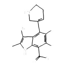 Cc1[nH]c2c(C(N)=O)c(F)c(F)c(C3=CCCNC3)c2c1C#N